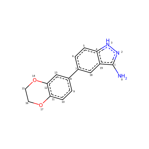 Nc1n[nH]c2ccc(-c3ccc4c(c3)OCCO4)cc12